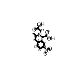 CC(Cc1ccc([N+](=O)[O-])cc1)N(CC(=O)O)CC(=O)O